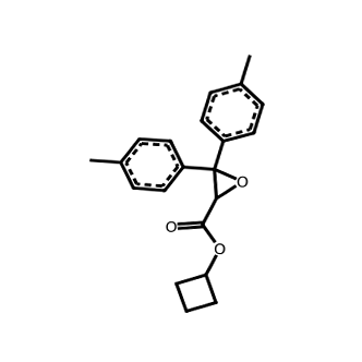 Cc1ccc(C2(c3ccc(C)cc3)OC2C(=O)OC2CCC2)cc1